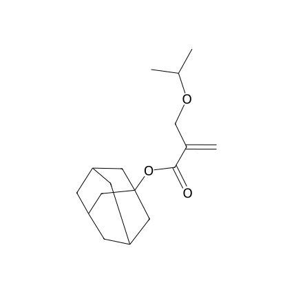 C=C(COC(C)C)C(=O)OC12CC3CC(CC(C3)C1)C2